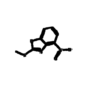 CSc1nc2c([N+](=O)[O-])cccc2o1